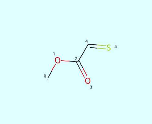 [CH2]OC(=O)C=S